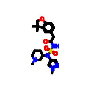 CN1CCCC(N(c2cnn(C)c2)S(=O)(=O)NC(=O)Cc2ccc3c(c2)C(C)(C)CO3)C1